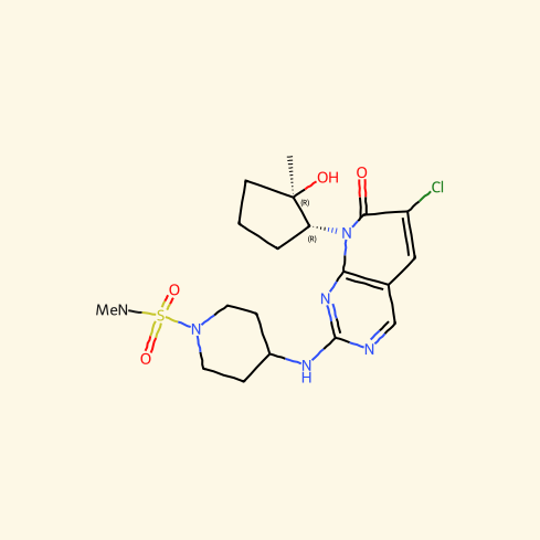 CNS(=O)(=O)N1CCC(Nc2ncc3cc(Cl)c(=O)n([C@@H]4CCC[C@@]4(C)O)c3n2)CC1